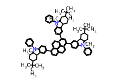 CC(C)(C)C1CCC2(C)C(C1)c1cc(-c3ccc4ccc5c(-c6ccc7c(c6)C6CC(C(C)(C)C)CCC6(C)N7c6ccccc6)cc(-c6ccc7c(c6)C6CCC(C(C)(C)C)CC6(C)N7c6ccccc6)c6ccc3c4c56)ccc1N2c1ccccc1